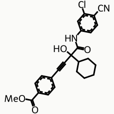 COC(=O)c1ccc(C#CC(O)(C(=O)Nc2ccc(C#N)c(Cl)c2)C2CCCCC2)cc1